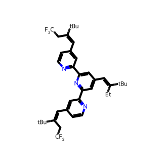 CC/C(=C\c1cc(-c2cc(/C=C(\CC(F)(F)F)C(C)(C)C)ccn2)nc(-c2cc(/C=C(\CC(F)(F)F)C(C)(C)C)ccn2)c1)C(C)(C)C